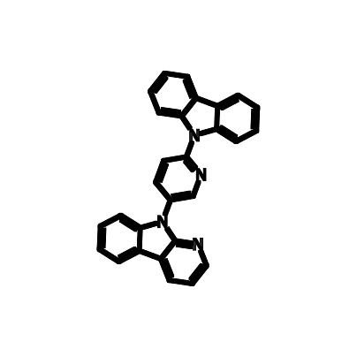 c1ccc2c(c1)c1ccccc1n2-c1ccc(-n2c3ccccc3c3cccnc32)cn1